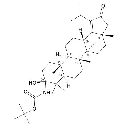 CC(C)C1=C2[C@H]3CC[C@@H]4[C@@]5(C)CC[C@@](O)(NC(=O)OC(C)(C)C)C(C)(C)[C@@H]5CC[C@@]4(C)[C@]3(C)CC[C@@]2(C)CC1=O